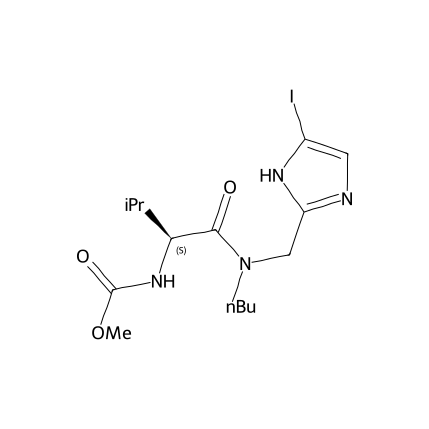 CCCCN(Cc1ncc(I)[nH]1)C(=O)[C@@H](NC(=O)OC)C(C)C